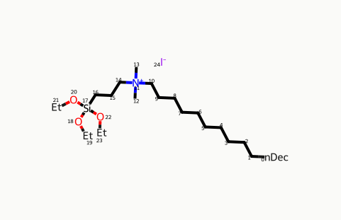 CCCCCCCCCCCCCCCCCCCC[N+](C)(C)CCC[Si](OCC)(OCC)OCC.[I-]